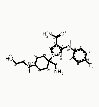 NCC1(n2cc(C(N)=O)c(Nc3ccc(F)cc3)n2)CCC(NCCO)CC1